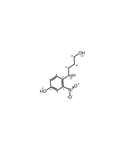 O=[N+]([O-])c1cc(O)ccc1[AsH]CCCO